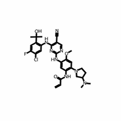 C=CC(=O)Nc1cc(Nc2ncc(C#N)c(Nc3cc(Cl)c(F)cc3C(C)(C)O)n2)c(OC)cc1N1CCC(N(C)C)C1